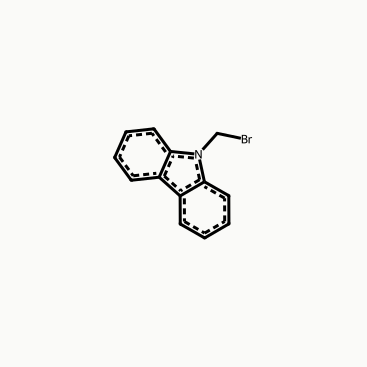 BrCn1c2ccccc2c2ccccc21